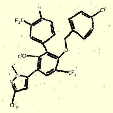 Cn1nc(C(F)(F)F)cc1-c1cc(C(F)(F)F)c(OCc2ccc(Cl)cc2)c(-c2ccc(Cl)c(C(F)(F)F)c2)c1O